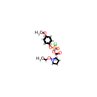 CCON1CCC[C@H]1C(=O)OP(=O)(Cl)Oc1ccc(OC)cc1